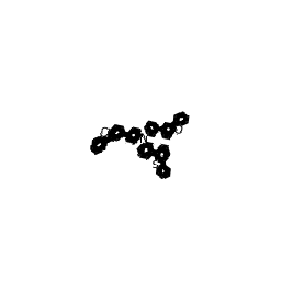 c1cc(-c2ccc3oc4ccccc4c3c2)cc(N(c2ccc(-c3ccc4oc5ccccc5c4c3)cc2)c2cccc(-c3cccc4c3sc3ccccc34)c2)c1